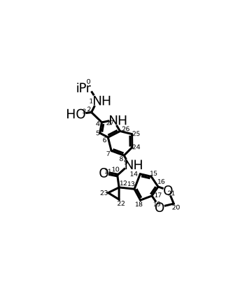 CC(C)NC(O)c1cc2cc(NC(=O)C3(c4ccc5c(c4)OCO5)CC3)ccc2[nH]1